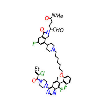 CC/C=C(\Cl)C(=O)N1CCN(c2ncnc3c(F)c(-c4c(F)cccc4OCCCCCCCN4CCC(c5cc(F)cc6c5CN(C(C=O)CCC(=O)NC)C6=O)CC4)c(C)cc23)CC1